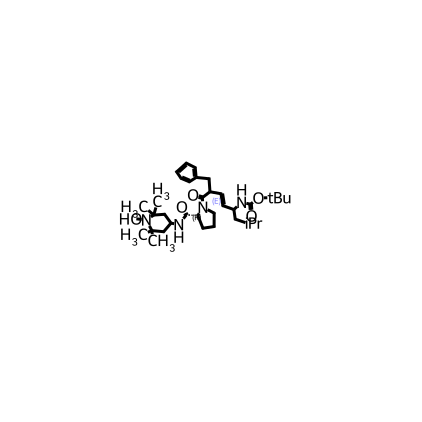 CC(C)CC(/C=C/C(Cc1ccccc1)C(=O)N1CCC[C@@H]1C(=O)NC1CC(C)(C)N(O)C(C)(C)C1)NC(=O)OC(C)(C)C